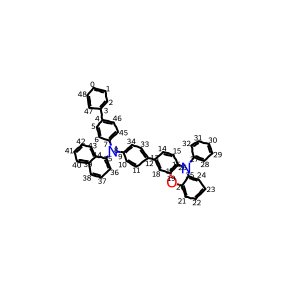 c1ccc(-c2ccc(N(c3ccc(-c4ccc5c(c4)Oc4ccccc4N5c4ccccc4)cc3)c3cccc4ccccc34)cc2)cc1